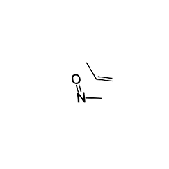 C=CC.CN=O